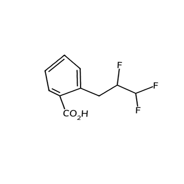 O=C(O)c1ccccc1CC(F)C(F)F